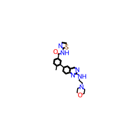 Cc1ccc(C(=O)Nc2nccs2)cc1-c1ccc2nc(NCCN3CCOCC3)ncc2c1